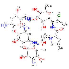 CCC[C@@H]1C[C@@H](C(=O)N[C@@H]([C@H]2O[C@H](SC)[C@H](O)[C@@H](O)[C@H]2O)[C@H](C)Cl)N(C)C1.NC[C@H]1O[C@H](O[C@H]2[C@H](O)[C@@H](O[C@H]3O[C@H](CO)[C@@H](O)[C@H](N)[C@H]3O)[C@H](N)C[C@@H]2N)[C@H](N)C[C@@H]1O